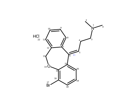 CN(C)CC/C=C1\c2ccccc2COc2c(Br)cccc21.Cl